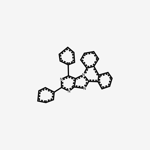 c1ccc(-c2nc(-c3ccccc3)c3c(n2)nc2c4ccccc4c4ccccc4n23)cc1